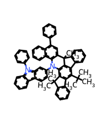 CC(C)(C)c1c2c(c3c4c1-c1ccccc1C4(C)c1cc(-c4ccccc4)c4ccccc4c1N3c1ccc3c4ccccc4n(-c4ccccc4)c3c1)C(C)(C)c1ccccc1-2